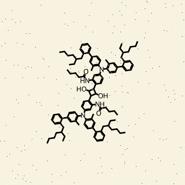 CCCCC(=O)Nc1cc(N(c2ccc(-c3ccccc3CC(CC)CCCC)cc2C)c2ccc(-c3ccccc3CC(CC)CCCC)cc2C)ccc1C1C(O)C(c2ccc(N(c3ccc(-c4ccccc4CC(CC)CCCC)cc3C)c3ccc(-c4ccccc4CC(CC)CCCC)cc3C)cc2NC(=O)CCCC)C1O